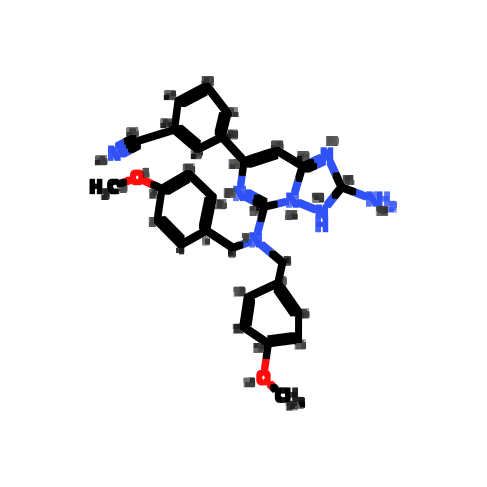 COc1ccc(CN(Cc2ccc(OC)cc2)C2=NC(c3cccc(C#N)c3)=CC3=NC(N)NN32)cc1